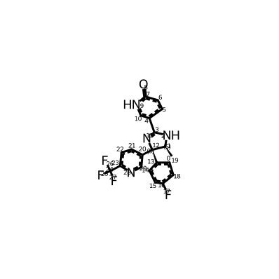 C[C@@H]1NC(c2ccc(=O)[nH]c2)=N[C@@]1(c1ccc(F)cc1)c1ccc(C(F)(F)F)nc1